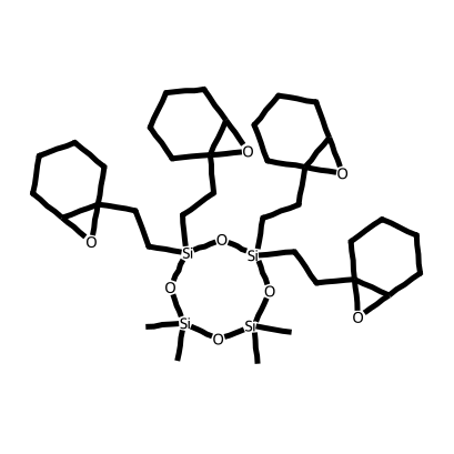 C[Si]1(C)O[Si](C)(C)O[Si](CCC23CCCCC2O3)(CCC23CCCCC2O3)O[Si](CCC23CCCCC2O3)(CCC23CCCCC2O3)O1